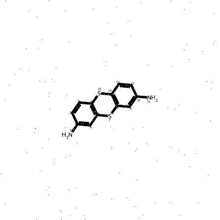 Nc1ccc2c(c1)Sc1cc(N)ccc1S2